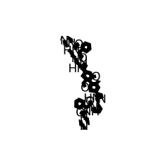 CCCN(Cc1ncc(-c2cc3c4c(c2)OCc2cc(-c5cnc([C@@H]6CCCN6C(=O)[C@H](NC(=O)N6CCN(C)CC6)c6ccccc6)[nH]5)cc(c2-4)OC3)[nH]1)C(=O)[C@H](NC(=O)N1CCN(C)CC1)c1ccccc1